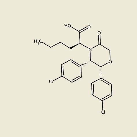 CCCC[C@@H](C(=O)O)N1C(=O)CO[C@H](c2ccc(Cl)cc2)[C@@H]1c1ccc(Cl)cc1